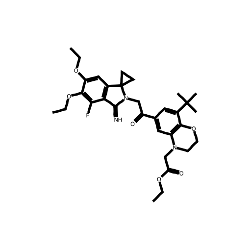 CCOC(=O)CN1CCOc2c1cc(C(=O)CN1C(=N)c3c(cc(OCC)c(OCC)c3F)C13CC3)cc2C(C)(C)C